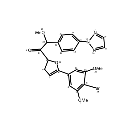 COc1cc(C2=CCC(C(=O)C(OC)c3ccc(-n4nccn4)cc3)O2)cc(OC)c1Br